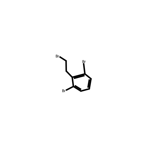 BrCCc1c(Br)cccc1Br